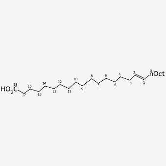 CCCCCCCCC=CCCCCCCCCCCCCCCCC(=O)O